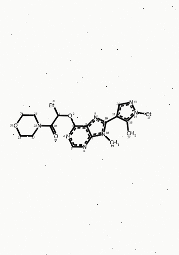 CCC(Oc1ncnc2c1nc(-c1cnn(CC)c1C)n2C)C(=O)N1CCOCC1